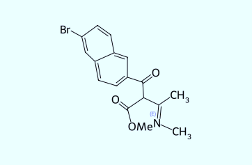 C/N=C(\C)C(C(=O)OC)C(=O)c1ccc2cc(Br)ccc2c1